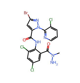 CN(N)C(=O)c1cc(Cl)cc(Cl)c1NC(=O)c1cc(Br)nn1-c1ncccc1Cl